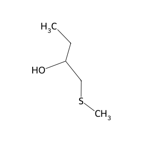 CCC(O)CSC